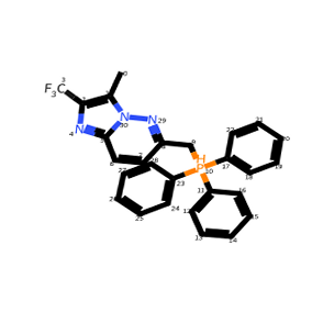 Cc1c(C(F)(F)F)nc2ccc(C[PH](c3ccccc3)(c3ccccc3)c3ccccc3)nn12